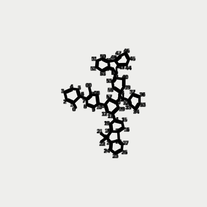 Cc1ccccc1-c1ccc(-c2cc(-c3ccc4c(c3)C(C)(C)c3ccccc3-4)cc(N(c3ccccc3)c3ccc(-n4c5ccccc5c5ccccc54)cc3)c2)cc1C